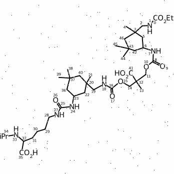 CCOC(=O)NCC1(C)CC(NC(=O)OCC(C)(COC(=O)NCC2(C)CC(NC(=O)NCCCCC(NC(C)C)C(=O)O)CC(C)(C)C2)C(=O)O)CC(C)(C)C1